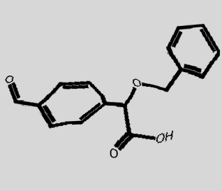 O=Cc1ccc(C(OCc2ccccc2)C(=O)O)cc1